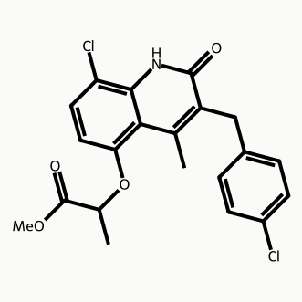 COC(=O)C(C)Oc1ccc(Cl)c2[nH]c(=O)c(Cc3ccc(Cl)cc3)c(C)c12